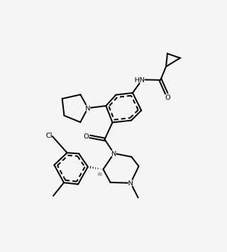 Cc1cc(Cl)cc([C@H]2CN(C)CCN2C(=O)c2ccc(NC(=O)C3CC3)cc2N2CCCC2)c1